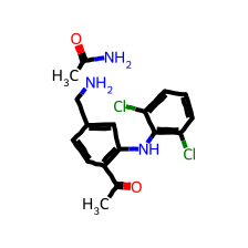 CC(=O)c1ccc(CN)cc1Nc1c(Cl)cccc1Cl.CC(N)=O